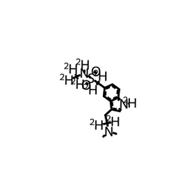 [2H]N(C([2H])([2H])[2H])S(=O)(=O)C([2H])([2H])c1ccc2c(c1)c(CC([2H])([2H])N(C)C)cn2[2H]